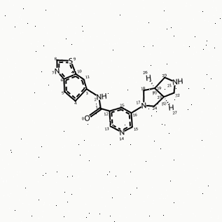 O=C(Nc1ccc2ncsc2c1)c1cncc(N2C[C@H]3CNC[C@H]3C2)c1